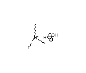 CCCCCCCC[N+](C)(CCCCCCCC)CCCCCCCC.O=C(O)c1ccccc1S